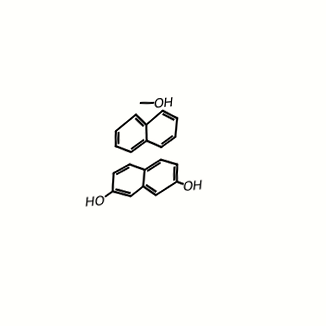 CO.Oc1ccc2ccc(O)cc2c1.c1ccc2ccccc2c1